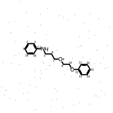 c1ccc(NCCCOCCOc2ccccc2)cc1